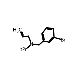 C=CCN(CCC)Cc1cccc(Br)c1